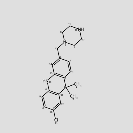 CC1(C)c2ccc(CN3CCNCC3)cc2Nc2ccc(Cl)cc21